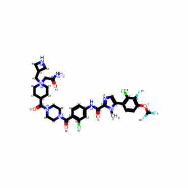 Cn1c(-c2ccc(OC(F)F)c(F)c2Cl)cnc1C(=O)Nc1ccc(C(=O)N2CCN(C(=O)C3CC[N+](CC(N)=O)(CC4CNC4)CC3)CC2)c(Cl)c1